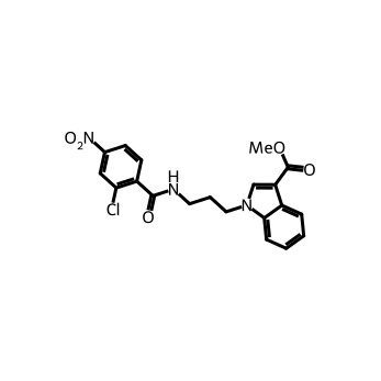 COC(=O)c1cn(CCCNC(=O)c2ccc([N+](=O)[O-])cc2Cl)c2ccccc12